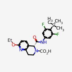 CCOc1ccc2c(n1)CCN(C(=O)O)[C@H]2C(=O)Nc1cc(F)c([Si](C)(C)C)c(F)c1